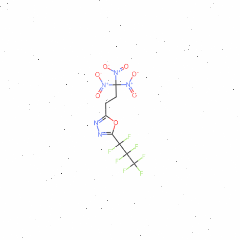 O=[N+]([O-])C(CCc1nnc(C(F)(F)C(F)(F)C(F)(F)F)o1)([N+](=O)[O-])[N+](=O)[O-]